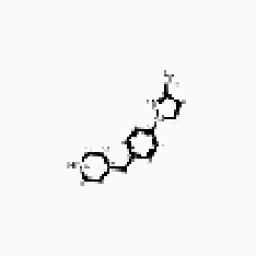 FC(F)(F)C1=NN(c2ccc(CC3CCNCC3)cc2)CC1